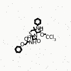 CC1(Nc2ccccc2)CS[C@@H]2C(NC(=O)COc3ccccc3)C(=O)N2C1C(=O)OCC(Cl)(Cl)Cl